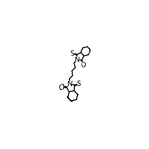 O=C1C2CCCCC2C(=S)N1CCCCCN1C(=O)C2CCCCC2C1=S